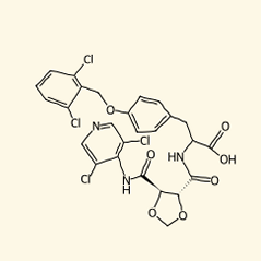 O=C(O)C(Cc1ccc(OCc2c(Cl)cccc2Cl)cc1)NC(=O)[C@@H]1OCO[C@H]1C(=O)Nc1c(Cl)cncc1Cl